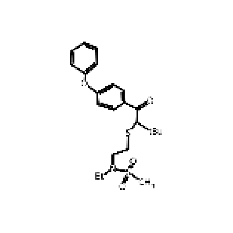 CCN(CCSC(C(=O)c1ccc(Oc2ccccc2)cc1)C(C)(C)C)S(C)(=O)=O